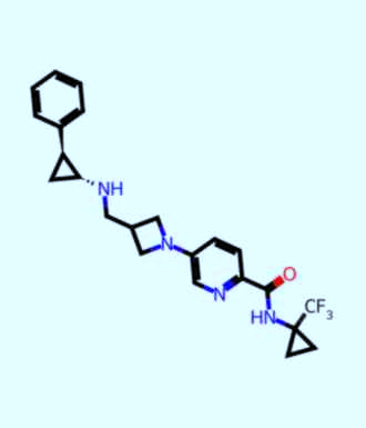 O=C(NC1(C(F)(F)F)CC1)c1ccc(N2CC(CN[C@@H]3C[C@H]3c3ccccc3)C2)cn1